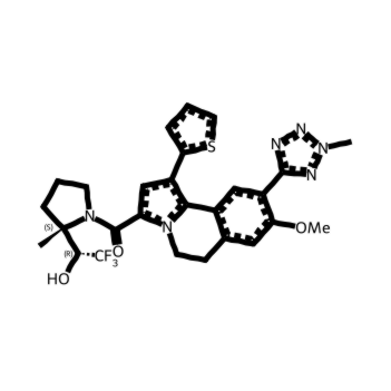 COc1cc2c(cc1-c1nnn(C)n1)-c1c(-c3cccs3)cc(C(=O)N3CCC[C@@]3(C)[C@@H](O)C(F)(F)F)n1CC2